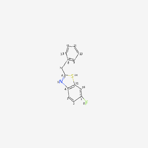 Fc1ccc2nc(Cc3ccccc3)sc2c1